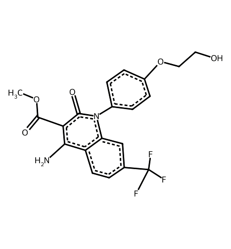 COC(=O)c1c(N)c2ccc(C(F)(F)F)cc2n(-c2ccc(OCCO)cc2)c1=O